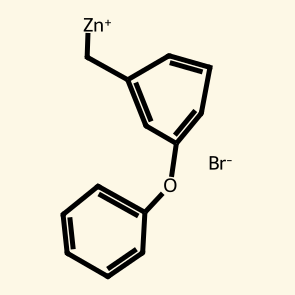 [Br-].[Zn+][CH2]c1cccc(Oc2ccccc2)c1